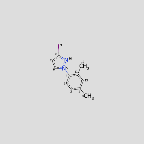 Cc1ccc(-n2ccc(I)n2)c(C)c1